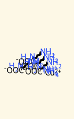 NCCCC[C@H](N)C(=O)[O-].NCCCC[C@H](N)C(=O)[O-].NCCCC[C@H](N)C(=O)[O-].NCCCC[C@H](N)C(=O)[O-].[Cu+2].[NH4+].[NH4+]